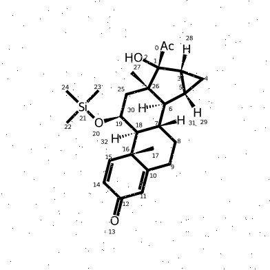 CC(=O)[C@@]1(O)[C@@H]2C[C@@H]2[C@H]2[C@@H]3CCC4=CC(=O)C=C[C@]4(C)[C@H]3[C@@H](O[Si](C)(C)C)C[C@@]21C